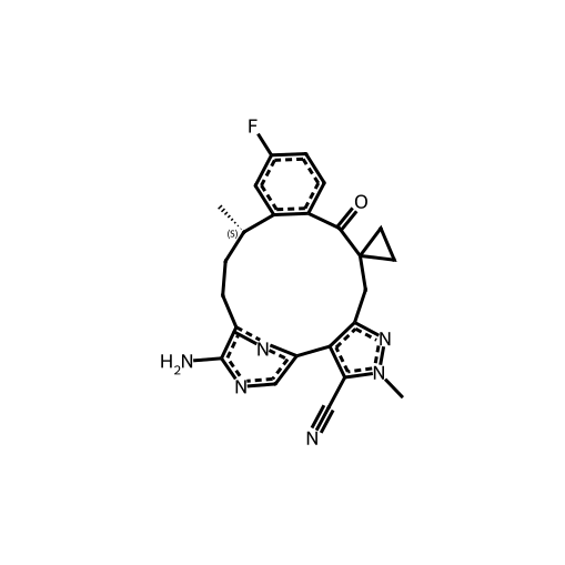 C[C@H]1CCc2nc(cnc2N)-c2c(nn(C)c2C#N)CC2(CC2)C(=O)c2ccc(F)cc21